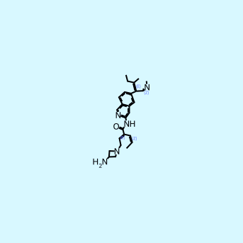 C/C=C\C(=C/CN1CC(N)C1)C(=O)Nc1cc2cc(C(/C=N\C)=C(/C)CC)ccc2cn1